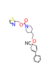 N#CC1(OCCC2CCN(C(=O)OCc3nccs3)CC2)C=CC(c2ccccc2)=CC1